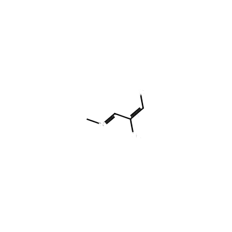 CC/C=C(\C=NC)C(F)(F)F